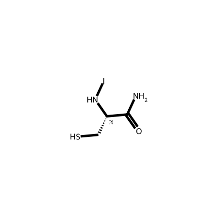 NC(=O)[C@H](CS)NI